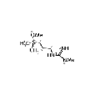 CNC(=N)NCCC[Si](C)(C)OC